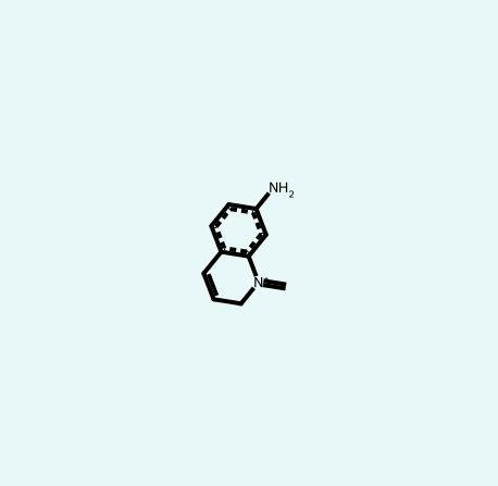 C=[N+]1CC=Cc2ccc(N)cc21